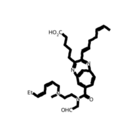 C/C=C\CC/C=C/C1=NC2C=CC(C(=O)N(CC=O)CCN(C)C/C=C\C=C/CC)=CC(=C2)N=C1CCCCC(=O)O